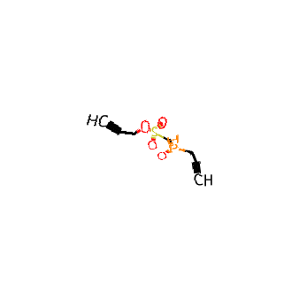 C#CCOS(=O)(=O)C[PH](=O)CC#C